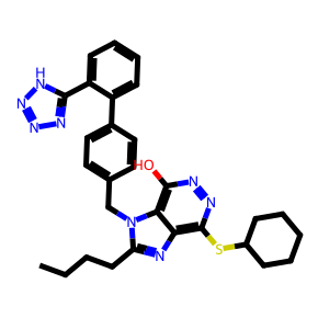 CCCCc1nc2c(SC3CCCCC3)nnc(O)c2n1Cc1ccc(-c2ccccc2-c2nnn[nH]2)cc1